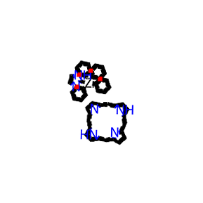 C1=Cc2cc3ccc(cc4nc(cc5ccc(cc1n2)[nH]5)C=C4)[nH]3.c1cc[c]([Zn]([c]2ccccc2)([c]2ccccc2)([c]2ccccc2)[c]2ncc[nH]2)cc1